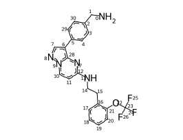 NCc1ccc(-c2cnn3ccc(NCCc4ccccc4OC(F)(F)F)nc23)cc1